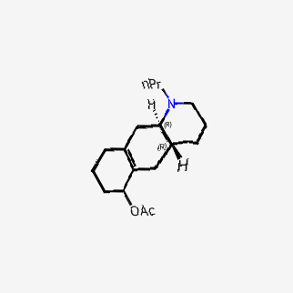 CCCN1CCC[C@@H]2CC3=C(CCCC3OC(C)=O)C[C@H]21